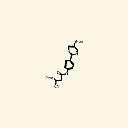 CCCCCCCCCc1cnc(-c2ccc(OC(=O)CC(C#N)C(C)CCC)cc2)nc1